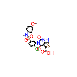 COc1ccc(N(C)S(=O)(=O)c2ccc(Cl)c(-n3c(=O)[nH]c4csc(C(=O)O)c4c3=O)c2)cc1